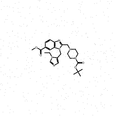 CCn1cncc1Cn1c(CN2CCN(C(=O)OC(C)(C)C)CC2)nc2ccc(C(=O)OC)cc21